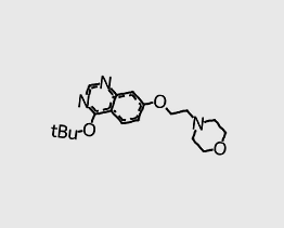 CC(C)(C)Oc1ncnc2cc(OCCN3CCOCC3)ccc12